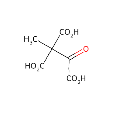 CC(C(=O)O)(C(=O)O)C(=O)C(=O)O